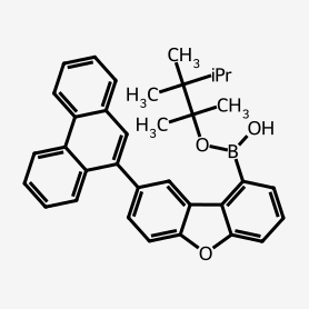 CC(C)C(C)(C)C(C)(C)OB(O)c1cccc2oc3ccc(-c4cc5ccccc5c5ccccc45)cc3c12